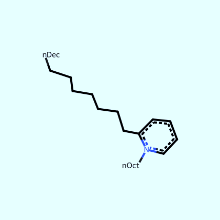 CCCCCCCCCCCCCCCCCc1cccc[n+]1CCCCCCCC